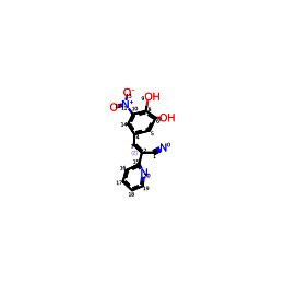 N#C/C(=C\c1cc(O)c(O)c([N+](=O)[O-])c1)c1ccccn1